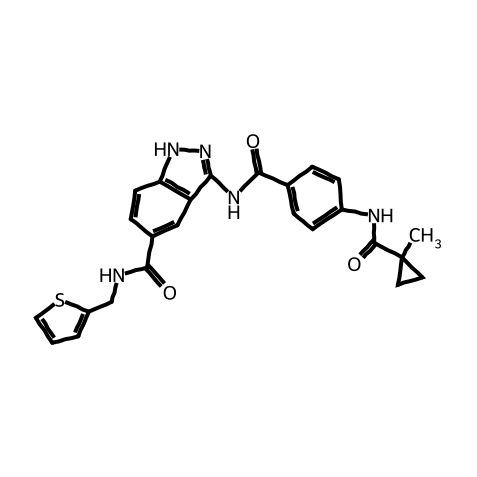 CC1(C(=O)Nc2ccc(C(=O)Nc3n[nH]c4ccc(C(=O)NCc5cccs5)cc34)cc2)CC1